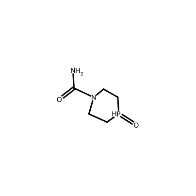 NC(=O)N1CC[PH](=O)CC1